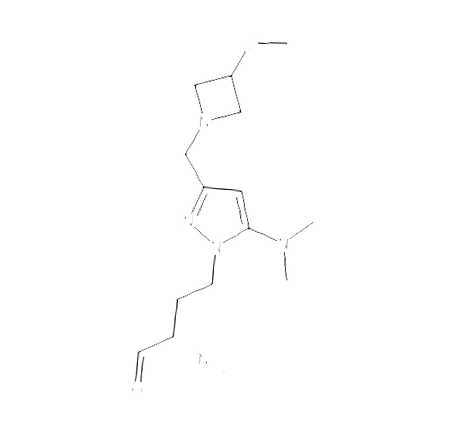 COC1CN(Cc2cc(N(C)C)n(CC[C@H](N)C=O)n2)C1